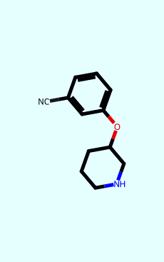 N#Cc1cccc(OC2CCCNC2)c1